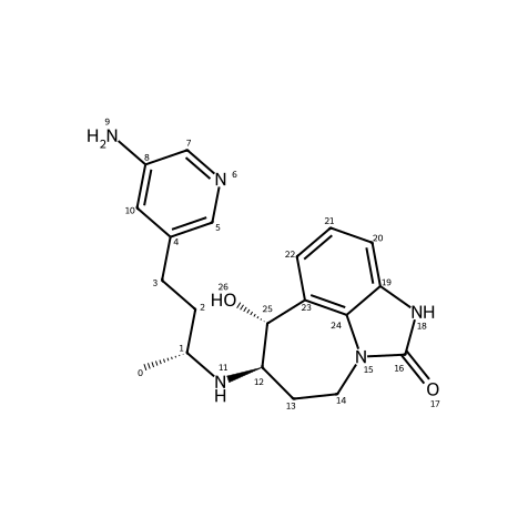 C[C@H](CCc1cncc(N)c1)N[C@@H]1CCn2c(=O)[nH]c3cccc(c32)[C@H]1O